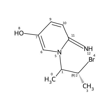 CC([C@@H](C)Br)n1cc(O)ccc1=N